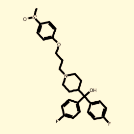 C[S+]([O-])c1ccc(OCCCN2CCC(C(O)(c3ccc(F)cc3)c3ccc(F)cc3)CC2)cc1